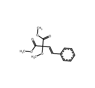 COC(=O)C(C=Cc1ccccc1)(OC)C(=O)OC